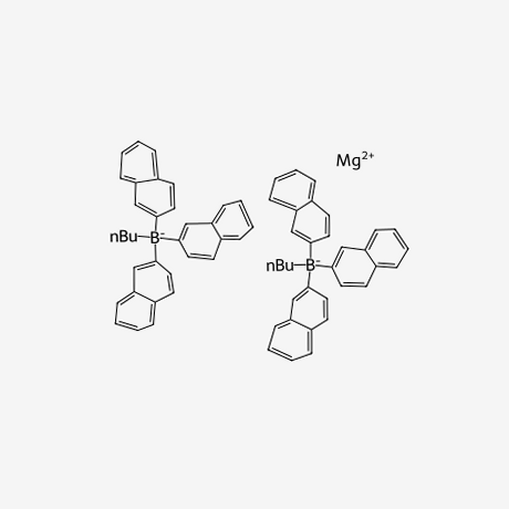 CCCC[B-](c1ccc2ccccc2c1)(c1ccc2ccccc2c1)c1ccc2ccccc2c1.CCCC[B-](c1ccc2ccccc2c1)(c1ccc2ccccc2c1)c1ccc2ccccc2c1.[Mg+2]